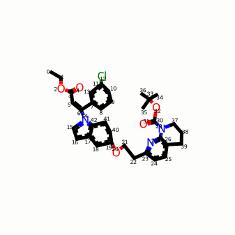 CCOC(=O)C=C(c1cccc(Cl)c1)n1ccc2cc(OCCc3ccc4c(n3)N(C(=O)OC(C)(C)C)CCC4)ccc21